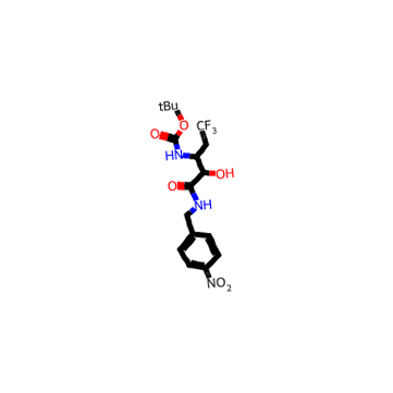 CC(C)(C)OC(=O)NC(CC(F)(F)F)C(O)C(=O)NCc1ccc([N+](=O)[O-])cc1